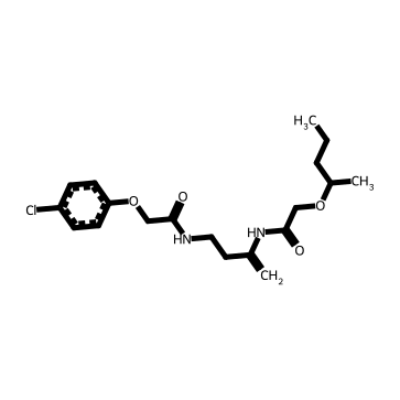 C=C(CCNC(=O)COc1ccc(Cl)cc1)NC(=O)COC(C)CCC